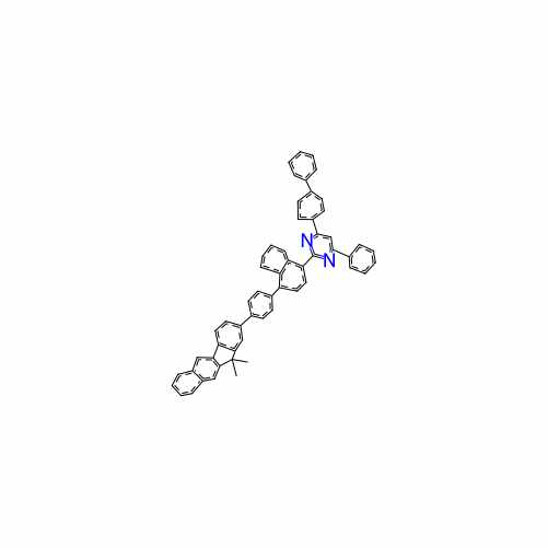 CC1(C)c2cc(-c3ccc(-c4ccc(-c5nc(-c6ccccc6)cc(-c6ccc(-c7ccccc7)cc6)n5)c5ccccc45)cc3)ccc2-c2cc3ccccc3cc21